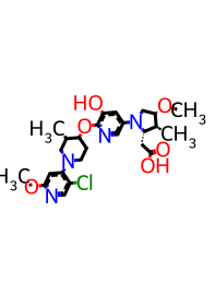 COc1cc(N2CCC(Oc3ncc(N4C[C@H](OC)[C@@H](C)[C@@H]4CC(=O)O)cc3O)C(C)C2)c(Cl)cn1